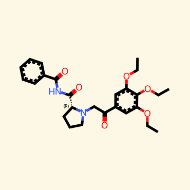 CCOc1cc(C(=O)CN2CCC[C@@H]2C(=O)NC(=O)c2ccccc2)cc(OCC)c1OCC